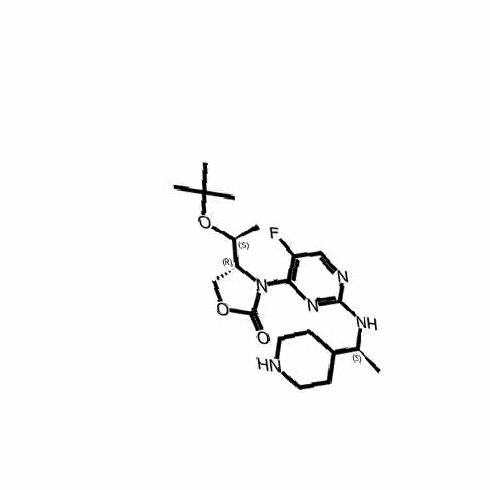 C[C@H](Nc1ncc(F)c(N2C(=O)OC[C@@H]2[C@H](C)OC(C)(C)C)n1)C1CCNCC1